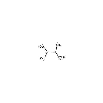 CCCCCCCCC(CCCCCCCC)C(C)C(=O)O